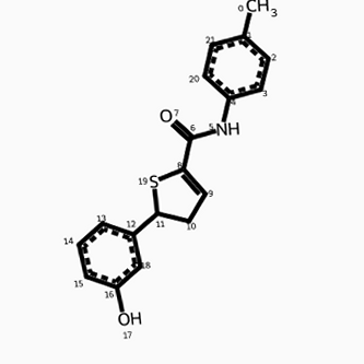 Cc1ccc(NC(=O)C2=CCC(c3cccc(O)c3)S2)cc1